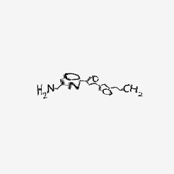 C=CCc1cc(-c2cc(-c3nc(CN)co3)co2)co1